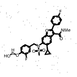 CNC(=O)c1c(-c2ccc(F)cc2)oc2cc(N(Cc3ccc(OBO)c(F)c3)S(C)(=O)=O)c(C3CC3)cc12